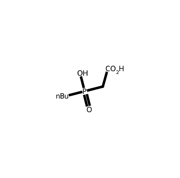 CCCCP(=O)(O)CC(=O)O